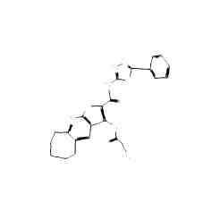 NCC(=O)Nc1c(C(=O)Nc2nnc(-c3ccccc3)s2)sc2nc3c(cc12)CCCCC3